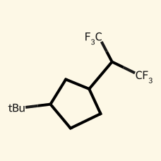 CC(C)(C)C1CCC(C(C(F)(F)F)C(F)(F)F)C1